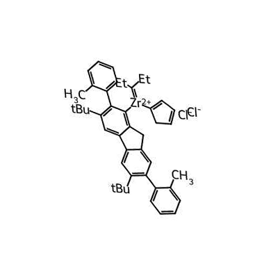 CC[C](CC)=[Zr+2]([C]1=CC=CC1)[c]1c2c(cc(C(C)(C)C)c1-c1ccccc1C)-c1cc(C(C)(C)C)c(-c3ccccc3C)cc1C2.[Cl-].[Cl-]